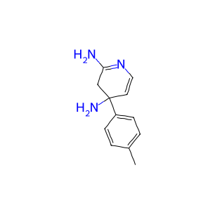 Cc1ccc(C2(N)C=CN=C(N)C2)cc1